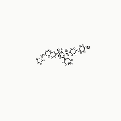 O=C([C@H](NS(=O)(=O)c1ccc2cc(OC3CCCC3)ccc2c1)C(F)(F)c1ccc(-c2ccc(Cl)cc2)cc1)N1CCNCC1